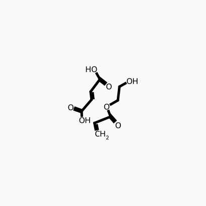 C=CC(=O)OCCO.O=C(O)C=CC(=O)O